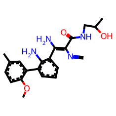 C=N/C(C(=O)NCC(C)O)=C(/N)c1cccc(-c2cc(C)ccc2OC)c1N